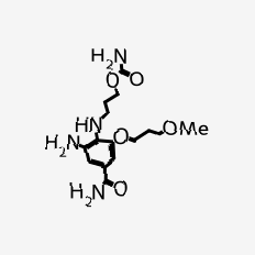 COCCCOc1cc(C(N)=O)cc(N)c1NCCCOC(N)=O